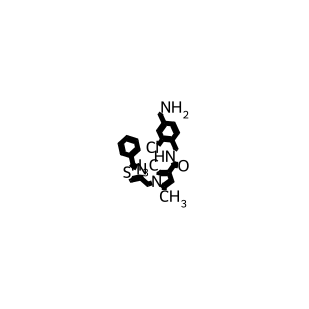 Cc1cc(C(=O)NCc2ccc(CN)cc2Cl)c(C)n1Cc1csc(-c2ccccc2)n1